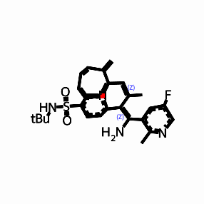 C=C1C=CC=CC=C1/C=C(C)\C(=C(\N)c1cc(F)cnc1C)c1ccc(S(=O)(=O)NC(C)(C)C)cn1